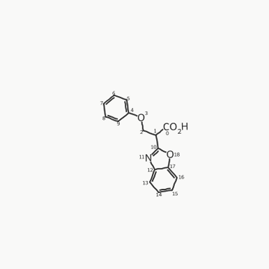 O=C(O)C(COc1ccccc1)c1nc2ccccc2o1